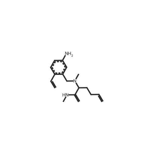 C=CCCC(C(=C)NC)N(C)Cc1cc(N)ccc1C=C